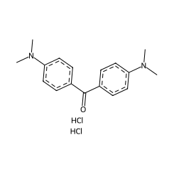 CN(C)c1ccc(C(=O)c2ccc(N(C)C)cc2)cc1.Cl.Cl